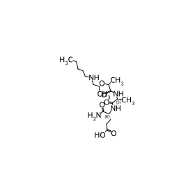 CCCCCNCC(C)OC(C)C(=O)N[C@@H](C)C(=O)N[C@H](CCC(=O)O)C(N)=O